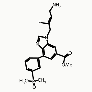 COC(=O)c1cc(-c2cccc(P(C)(C)=O)c2)c2ncn(CC(F)=CCN)c2c1